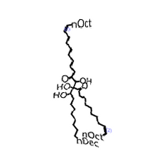 CCCCCCCC/C=C\CCCCCCCC(=O)C(O)C(O)(C(=O)CCCCCCC/C=C\CCCCCCCC)C(O)CCCCCCCCCCCCCCCCCC